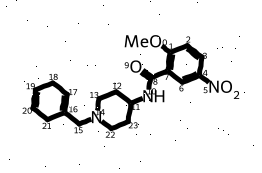 COc1ccc([N+](=O)[O-])cc1C(=O)NC1CCN(CC2=CCC=CC2)CC1